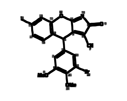 COc1cc(C2C3=C(C#N)C(=O)N=C3Oc3cc(C)ccc32)cc(Br)c1OC